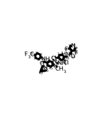 Cn1c(Nc2c(Cl)ccc(CNC(=O)c3c(F)cncc3F)c2Cl)nc2cc(C(=O)NC3CCC(C(F)(F)F)CC3)c(N3CC4CC4C3)cc21